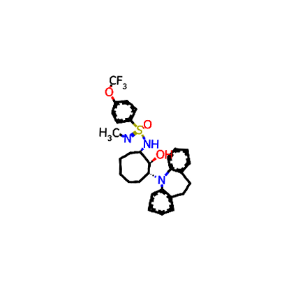 CN=S(=O)(N[C@@H]1CCCCC[C@@H](N2c3ccccc3CCc3ccccc32)[C@@H]1O)c1ccc(OC(F)(F)F)cc1